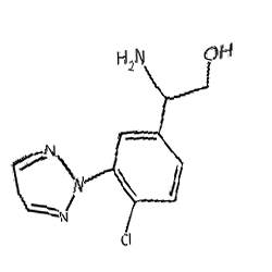 NC(CO)c1ccc(Cl)c(-n2nccn2)c1